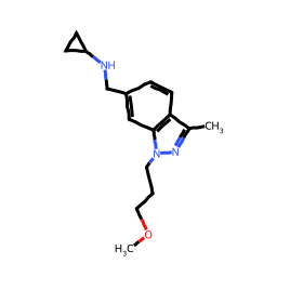 COCCCn1nc(C)c2ccc(CNC3CC3)cc21